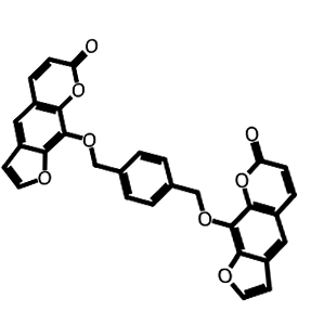 O=c1ccc2cc3ccoc3c(OCc3ccc(COc4c5occc5cc5ccc(=O)oc45)cc3)c2o1